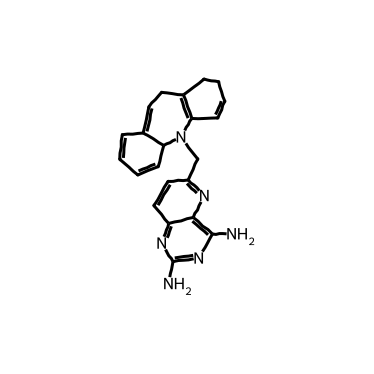 Nc1nc(N)c2nc(CN3C4=C(CC=C5C=CC=CC53)CCC=C4)ccc2n1